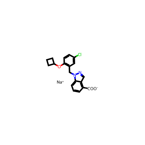 O=C([O-])c1cccc2c1cnn2Cc1cc(Cl)ccc1OC1CCC1.[Na+]